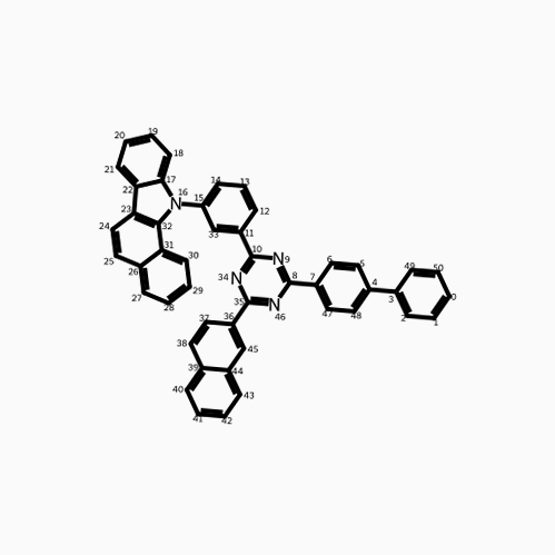 c1ccc(-c2ccc(-c3nc(-c4cccc(-n5c6ccccc6c6ccc7ccccc7c65)c4)nc(-c4ccc5ccccc5c4)n3)cc2)cc1